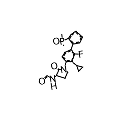 CP(C)(=O)c1ccccc1-c1ccc(N2CCC(NC=O)C2=O)c(C2CC2)c1F